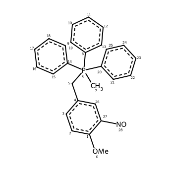 COc1ccc(CP(C)(c2ccccc2)(c2ccccc2)c2ccccc2)cc1N=O